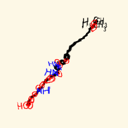 CC(C)(C)OC(=O)CCCCCCCCCCCCCc1ccc(Oc2ccc(S(=O)(=O)Nc3ccc(C(=O)NCCOCCOCC(=O)NCCOCCOCC(=O)O)cn3)cc2)cc1